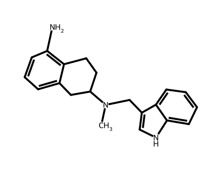 CN(Cc1c[nH]c2ccccc12)C1CCc2c(N)cccc2C1